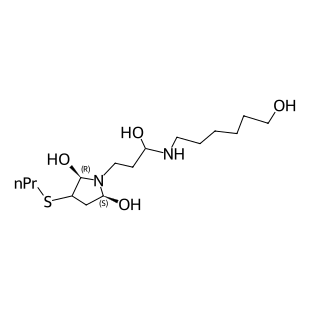 CCCSC1C[C@H](O)N(CCC(O)NCCCCCCO)[C@@H]1O